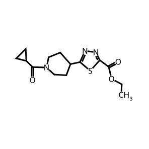 CCOC(=O)c1nnc(C2CCN(C(=O)C3CC3)CC2)s1